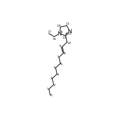 CCCCCCCCC=CCC1=NCCN1CC